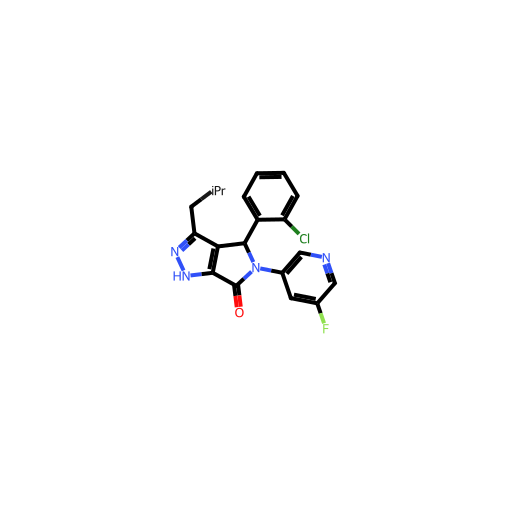 CC(C)Cc1n[nH]c2c1C(c1ccccc1Cl)N(c1cncc(F)c1)C2=O